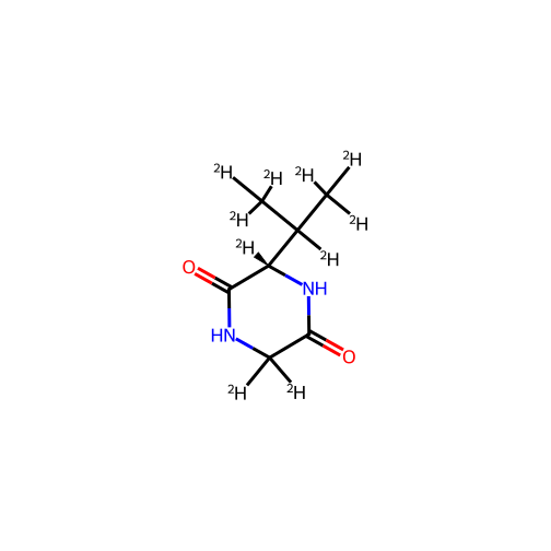 [2H]C1([2H])NC(=O)[C@]([2H])(C([2H])(C([2H])([2H])[2H])C([2H])([2H])[2H])NC1=O